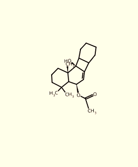 CC(=O)O[C@@H]1C=C2C3CCCCC3[C@@]2(O)[C@@]2(C)CCCC(C)(C)C12